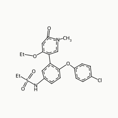 CCOc1cc(=O)n(C)cc1-c1cc(NS(=O)(=O)CC)ccc1Oc1ccc(Cl)cc1